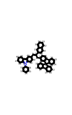 C(=C(/Cc1ccc2c(c1)C1(c3ccccc3-c3ccccc31)c1ccccc1-2)c1ccc2ccccc2c1)/c1ccc2c(c1)c1ccccc1n2-c1ccccc1